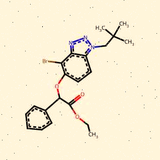 CCOC(=O)C(Oc1ccc2c(nnn2CC(C)(C)C)c1Br)c1ccccc1